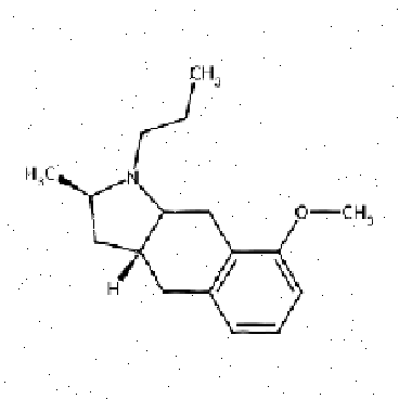 CCCN1C2Cc3c(cccc3OC)C[C@@H]2C[C@H]1C